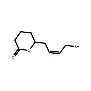 O=C1CCCC(C/C=C\CS)O1